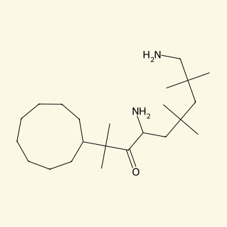 CC(C)(CN)CC(C)(C)CC(N)C(=O)C(C)(C)C1CCCCCCCC1